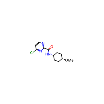 CO[C@H]1CC[C@H](NC(=O)c2nccc(Cl)n2)CC1